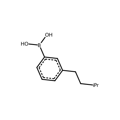 CC(C)CCc1cccc(B(O)O)c1